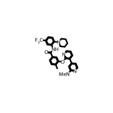 CNc1cc(-c2cccnc2Oc2cc(C(=O)Nc3cc(C(F)(F)F)ccc3N3CCCCC3)ccc2C)ccn1